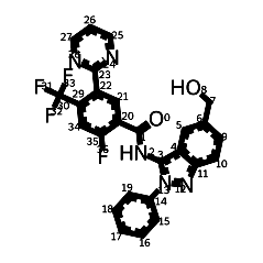 O=C(Nc1c2cc(CO)ccc2nn1-c1ccccc1)c1cc(-c2ncccn2)c(C(F)(F)F)cc1F